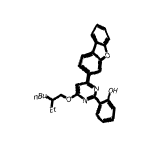 CCCCC(CC)COc1cc(-c2ccc3c(c2)oc2ccccc23)nc(-c2ccccc2O)n1